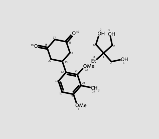 CCC(CO)(CO)CO.COc1ccc(C2CC(=O)CC(=O)C2)c(OC)c1C